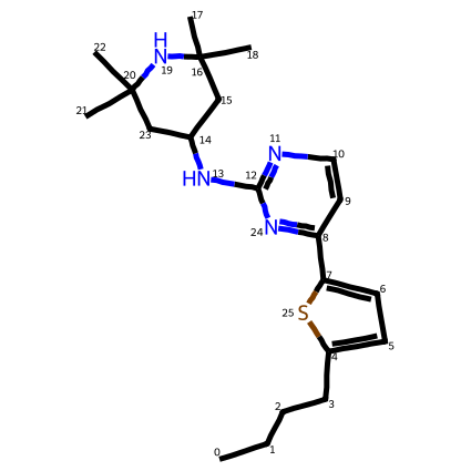 CCCCc1ccc(-c2ccnc(NC3CC(C)(C)NC(C)(C)C3)n2)s1